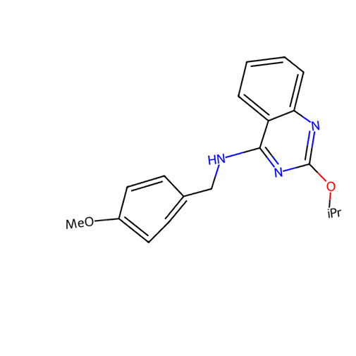 COc1ccc(CNc2nc(OC(C)C)nc3ccccc23)cc1